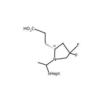 CCCCCCCC(C)N1CC(F)(F)C[C@H]1CCC(=O)O